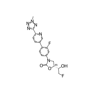 Cn1nnc(-c2ccc(-c3ccc(N4C[C@H](C(O)CF)OC4=O)cc3F)cn2)n1